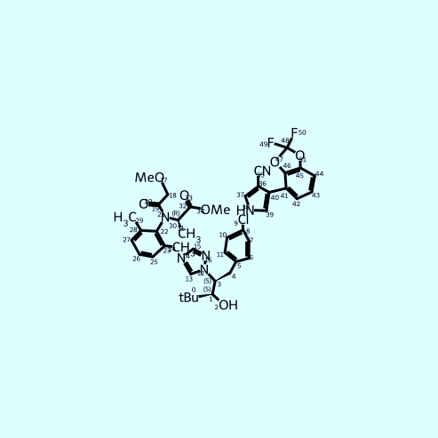 CC(C)(C)[C@H](O)[C@H](Cc1ccc(Cl)cc1)n1cncn1.COCC(=O)N(c1c(C)cccc1C)[C@H](C)C(=O)OC.N#Cc1c[nH]cc1-c1cccc2c1OC(F)(F)O2